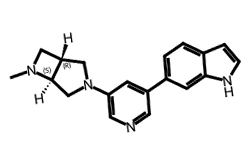 CN1C[C@@H]2CN(c3cncc(-c4ccc5cc[nH]c5c4)c3)C[C@H]21